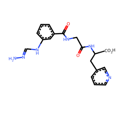 NN=CNc1cccc(C(=O)NCC(=O)NC(Cc2cccnc2)C(=O)O)c1